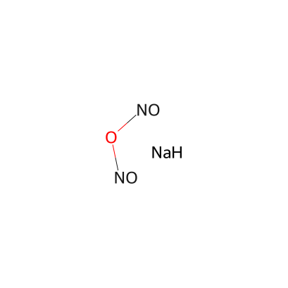 O=NON=O.[NaH]